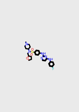 CN1CCC(N(CC2CCCO2)S(=O)(=O)c2ccc(Nc3nccc(Nc4ccc(F)cc4)n3)cc2)CC1